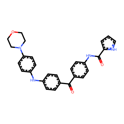 O=C(c1ccc(NC(=O)c2ccc[nH]2)cc1)c1ccc(Nc2ccc(N3CCOCC3)cc2)cc1